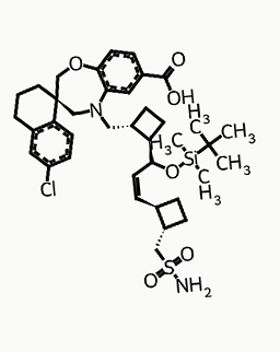 CC(C)(C)[Si](C)(C)OC(/C=C\[C@H]1CC[C@@H]1CS(N)(=O)=O)[C@@H]1CC[C@H]1CN1C[C@@]2(CCCc3cc(Cl)ccc32)COc2ccc(C(=O)O)cc21